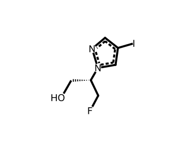 OC[C@@H](CF)n1cc(I)cn1